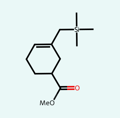 COC(=O)C1CCC=C(C[Si](C)(C)C)C1